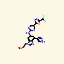 OCCn1cnc2c(-c3cn[nH]c3)cc(Nc3ncc(-c4nnc(C(F)F)o4)cn3)cc21